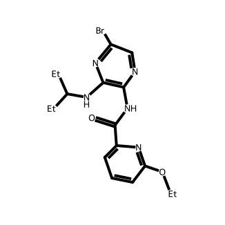 CCOc1cccc(C(=O)Nc2ncc(Br)nc2NC(CC)CC)n1